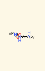 CCCN1CC(S(=O)(=O)NCCCCCCNC(C)C)C1